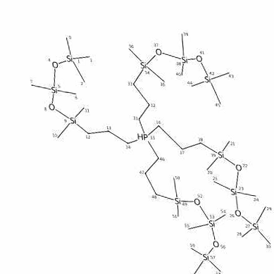 C[Si](C)(C)O[Si](C)(C)O[Si](C)(C)CCC[PH](CCC[Si](C)(C)O[Si](C)(C)O[Si](C)(C)C)(CCC[Si](C)(C)O[Si](C)(C)O[Si](C)(C)C)CCC[Si](C)(C)O[Si](C)(C)O[Si](C)(C)C